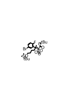 CC(C)(C)OC(=O)N1C(C)(c2cc(Br)ccc2F)C(CCCO[Si](C)(C)C(C)(C)C)OS1(=O)=O